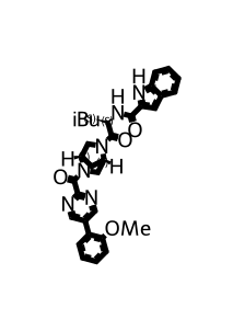 CC[C@H](C)[C@H](NC(=O)c1cc2ccccc2[nH]1)C(=O)N1C[C@@H]2C[C@H]1CN2C(=O)c1ncc(-c2ccccc2OC)cn1